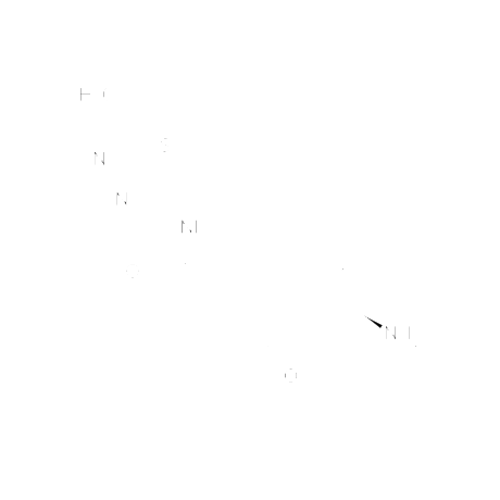 Cc1nnc(NC(=O)c2cc3c(c([C@@H]4C[C@H]4N)c2)OCC3)s1